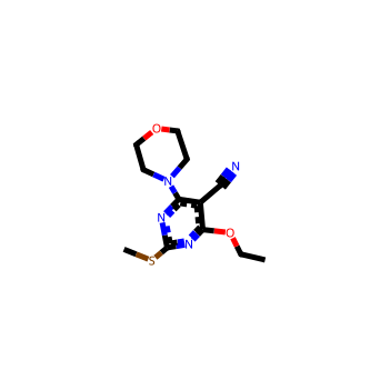 CCOc1nc(SC)nc(N2CCOCC2)c1C#N